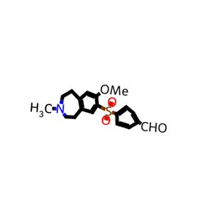 COc1cc2c(cc1S(=O)(=O)c1ccc(C=O)cc1)CCN(C)CC2